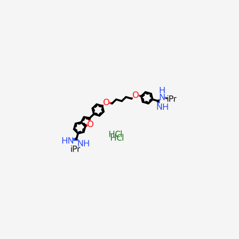 CC(C)NC(=N)c1ccc(OCCCCCOc2ccc(-c3cc4ccc(C(=N)NC(C)C)cc4o3)cc2)cc1.Cl.Cl